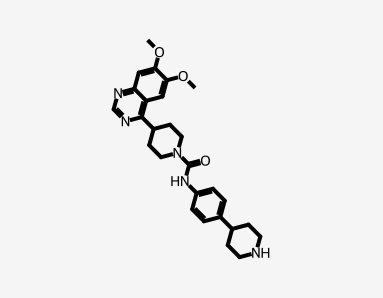 COc1cc2ncnc(C3CCN(C(=O)Nc4ccc(C5CCNCC5)cc4)CC3)c2cc1OC